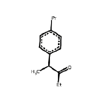 CCC(=O)C(C)c1ccc(C(C)C)cc1